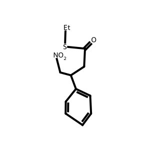 CCSC(=O)CC(C[N+](=O)[O-])c1ccccc1